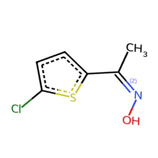 C/C(=N/O)c1ccc(Cl)s1